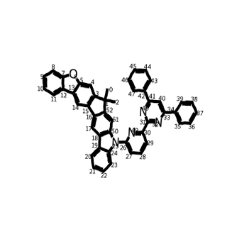 CC1(C)c2cc3oc4ccccc4c3cc2-c2cc3c4ccccc4n(-c4cccc(-c5nc(-c6ccccc6)cc(-c6ccccc6)n5)n4)c3cc21